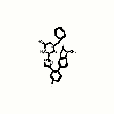 CN(C(=O)[C@@H](CC(=O)O)Cc1ccccc1)c1nc(-c2cc(Cl)ccc2-c2cnc3c(c2)CC(=O)N3C)cs1